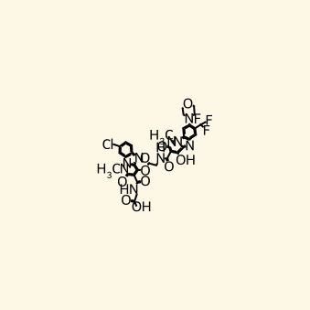 Cn1c(=O)c(C(=O)NCC(=O)Oc2c(C(=O)NCC(=O)O)c(=O)n(C)n3c2nc2ccc(Cl)cc23)c(O)c2nc3cc(C(F)(F)F)c(N4CCOCC4)cc3n21